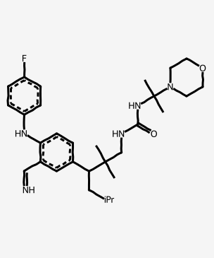 CC(C)CC(c1ccc(Nc2ccc(F)cc2)c(C=N)c1)C(C)(C)CNC(=O)NC(C)(C)N1CCOCC1